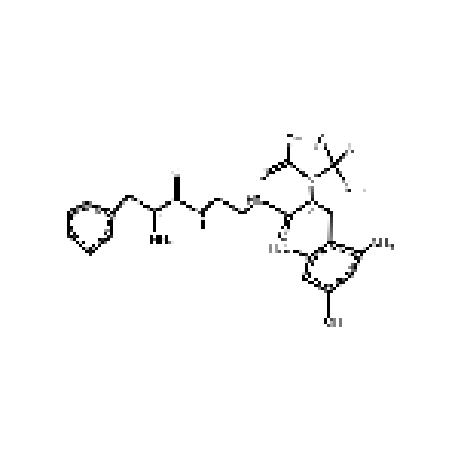 Cc1cc(O)cc(C)c1C[C@@H](C(=O)NCCNC(=O)[C@@H](N)Cc1ccccc1)N(C(=O)O)C(C)(C)C